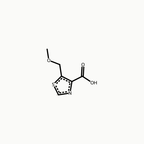 COCc1s[c]nc1C(=O)O